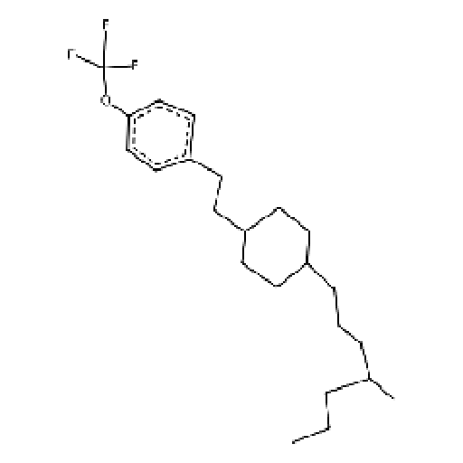 CCCC(C)CCCC1CCC(CCc2ccc(OC(F)(F)F)cc2)CC1